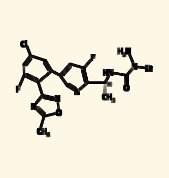 CCN(N)C(=O)N[C@H](C)c1ncc(-c2cc(Cl)cc(F)c2-c2noc(C)n2)cc1F